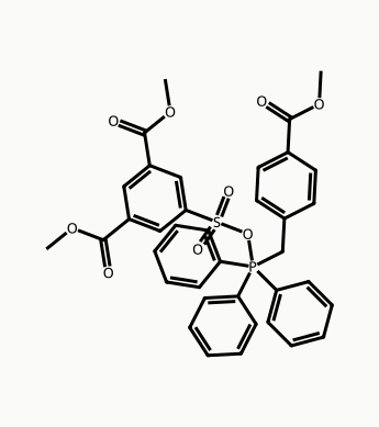 COC(=O)c1ccc(CP(OS(=O)(=O)c2cc(C(=O)OC)cc(C(=O)OC)c2)(c2ccccc2)(c2ccccc2)c2ccccc2)cc1